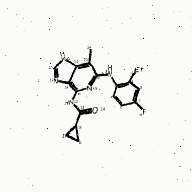 CCc1cc(F)ccc1Nc1nc(NC(=O)C2CC2)c2nc[nH]c2c1C